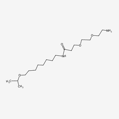 CC(C)OCCCCCCCCNC(=O)CCOCCOCCN